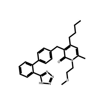 CCCCc1cc(C)n(CCOC)c(=O)c1Cc1ccc(-c2ccccc2-c2nnn[nH]2)cc1